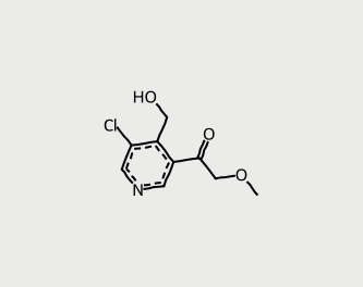 COCC(=O)c1cncc(Cl)c1CO